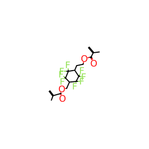 C=C(C)C(=O)OCCC1C(F)(F)C(F)(F)C(COC(=O)C(=C)C)C(F)(F)C1(F)F